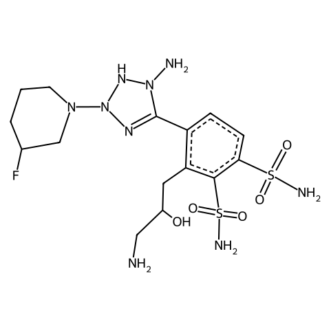 NCC(O)Cc1c(C2=NN(N3CCCC(F)C3)NN2N)ccc(S(N)(=O)=O)c1S(N)(=O)=O